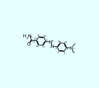 CN(C)c1ccc(/N=N/c2ccc(C(N)=O)cc2)cc1